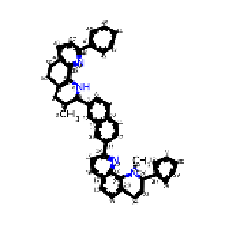 CC1CC2=C(NC1c1ccc3ccc(-c4ccc5ccc6c(c5n4)N(C)C(c4ccccc4)C=C6)cc3c1)c1nc(-c3ccccc3)ccc1CC2